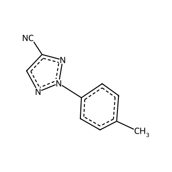 Cc1ccc(-n2ncc(C#N)n2)cc1